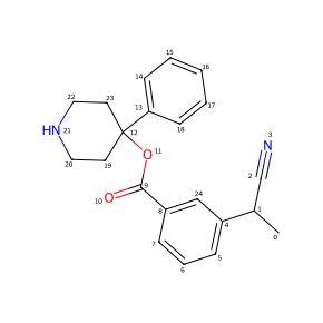 CC(C#N)c1cccc(C(=O)OC2(c3ccccc3)CCNCC2)c1